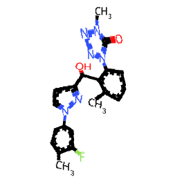 Cc1ccc(-n2ccc(C(O)c3c(C)cccc3-n3nnn(C)c3=O)n2)cc1F